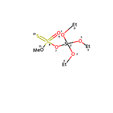 CCO[Si](OCC)(OCC)OS(=O)(=S)OC